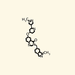 Cn1cc(-c2cc(Oc3ccc4ncn(Cc5ccc6cnn(C)c6c5)c(=O)c4c3)ccn2)cn1